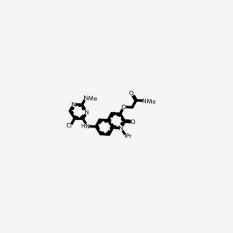 CNC(=O)COc1cc2cc(Nc3nc(NC)ncc3Cl)ccc2n(C(C)C)c1=O